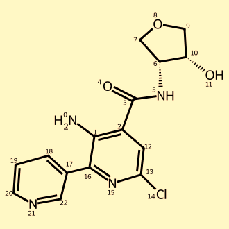 Nc1c(C(=O)N[C@@H]2COC[C@@H]2O)cc(Cl)nc1-c1cccnc1